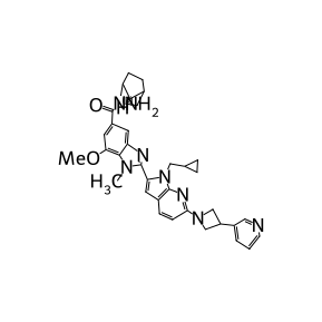 COc1cc(C(=O)N2CC3CCC2[C@@H]3N)cc2nc(-c3cc4ccc(N5CC(c6cccnc6)C5)nc4n3CC3CC3)n(C)c12